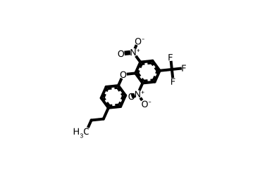 CCCc1ccc(Oc2c([N+](=O)[O-])cc(C(F)(F)F)cc2[N+](=O)[O-])cc1